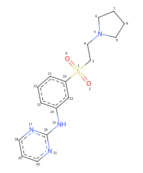 O=S(=O)(CCN1CCCC1)c1cccc(Nc2ncccn2)c1